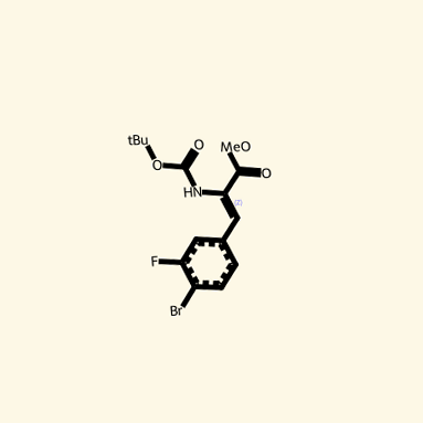 COC(=O)/C(=C/c1ccc(Br)c(F)c1)NC(=O)OC(C)(C)C